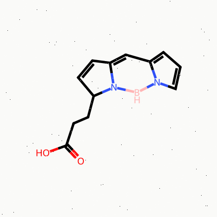 O=C(O)CCC1C=CC2=Cc3cccn3BN21